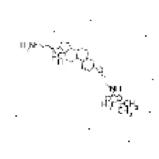 CC(C)(C)OC(=O)NCCCOc1ccc2c(c1)CCC1C2CC[C@@]2(C)C1CC[C@@H]2NCCCN